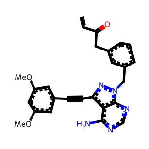 C=CC(=O)Cc1cccc(Cn2nc(C#Cc3cc(OC)cc(OC)c3)c3c(N)ncnc32)c1